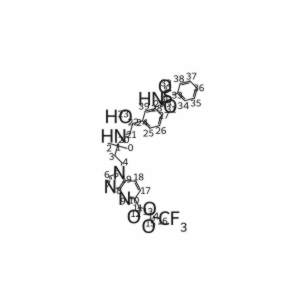 CC(C)(CCn1cnc2nc(C(=O)OC(=O)C(F)(F)F)ccc21)NCC(O)c1cccc(NS(=O)(=O)c2ccccc2)c1